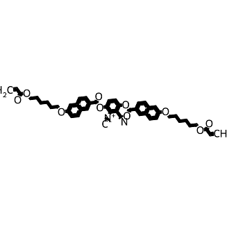 [C-]#[N+]c1c(OC(=O)c2ccc3cc(OCCCCCCOC(=O)C=C)ccc3c2)ccc(OC(=O)c2ccc3cc(OCCCCCCOC(=O)C=C)ccc3c2)c1C#N